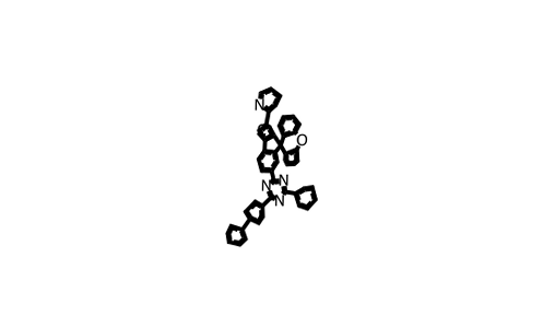 c1ccc(-c2ccc(-c3nc(-c4ccccc4)nc(-c4ccc5c(c4)C4(c6ccccc6Oc6ccccc64)c4cc(-c6ccccn6)ccc4-5)n3)cc2)cc1